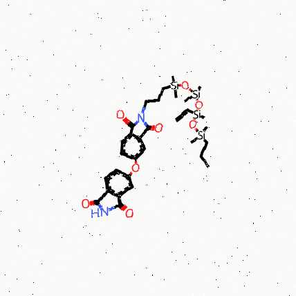 C=C[Si](C)(O[Si](C)(C)CCC)O[Si](C)(C)O[Si](C)(C)CCCN1C(=O)c2ccc(Oc3ccc4c(c3)C(=O)NC4=O)cc2C1=O